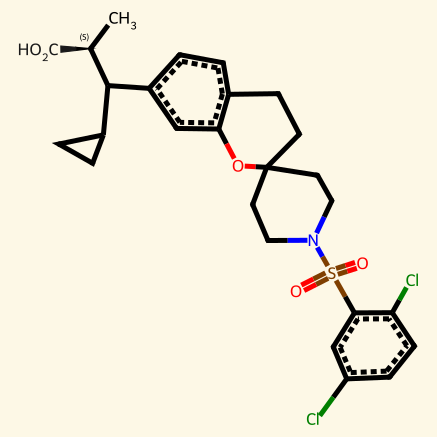 C[C@H](C(=O)O)C(c1ccc2c(c1)OC1(CC2)CCN(S(=O)(=O)c2cc(Cl)ccc2Cl)CC1)C1CC1